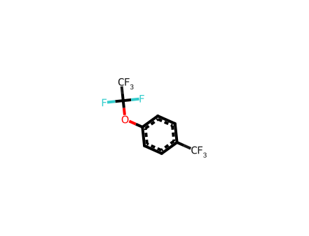 FC(F)(F)c1ccc(OC(F)(F)C(F)(F)F)cc1